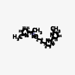 C/C(=N\OCCCc1ccnc(-c2cccc(C)n2)n1)c1cccc(C)n1